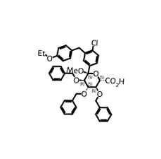 CCOc1ccc(Cc2cc([C@]3(OC)O[C@H](C(=O)O)[C@@H](OCc4ccccc4)[C@H](OCc4ccccc4)[C@H]3OCc3ccccc3)ccc2Cl)cc1